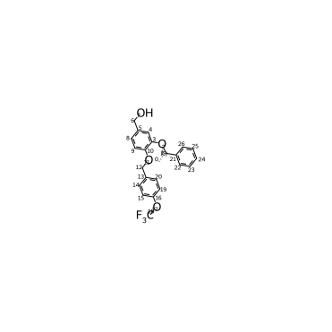 C[C@H](Oc1cc(CO)ccc1OCc1ccc(OC(F)(F)F)cc1)c1ccccc1